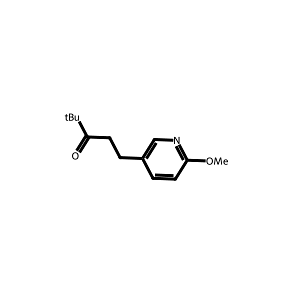 COc1ccc(CCC(=O)C(C)(C)C)cn1